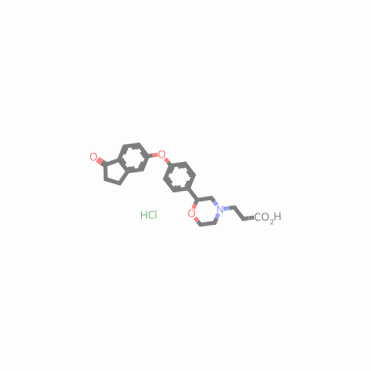 Cl.O=C(O)CCN1CCOC(c2ccc(Oc3ccc4c(c3)CCC4=O)cc2)C1